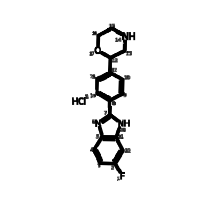 Cl.Fc1ccc2nc(-c3ccc(C4CNCCO4)cc3)[nH]c2c1